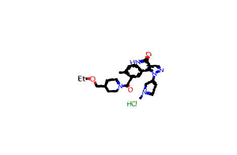 CCOCC1CCN(C(=O)c2cc3c(cc2C)[nH]c(=O)c2cnn(C4CCN(C)C4)c23)CC1.Cl